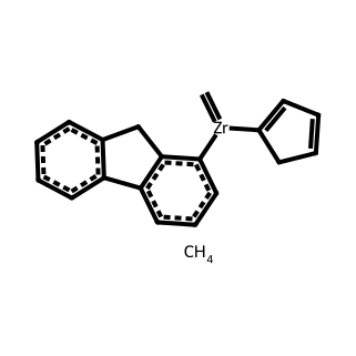 C.[CH2]=[Zr]([C]1=CC=CC1)[c]1cccc2c1Cc1ccccc1-2